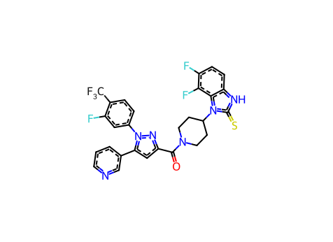 O=C(c1cc(-c2cccnc2)n(-c2ccc(C(F)(F)F)c(F)c2)n1)N1CCC(n2c(=S)[nH]c3ccc(F)c(F)c32)CC1